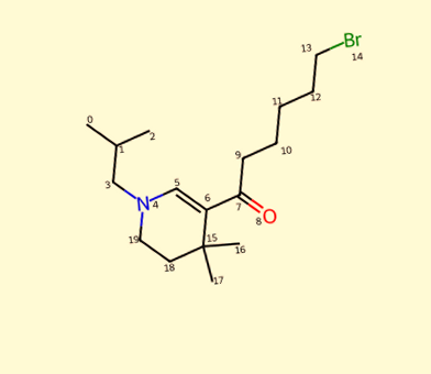 CC(C)CN1C=C(C(=O)CCCCCBr)C(C)(C)CC1